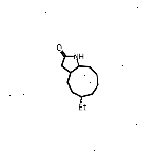 CCC1CCCCC2NC(=O)CC2CC1